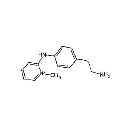 C[n+]1ccccc1Nc1ccc(CCN)cc1